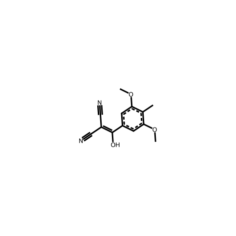 COc1cc(C(O)=C(C#N)C#N)cc(OC)c1C